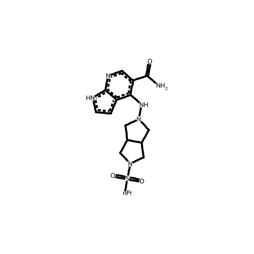 CCCS(=O)(=O)N1CC2CN(Nc3c(C(N)=O)cnc4[nH]ccc34)CC2C1